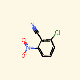 N#Cc1c(Cl)cccc1[N+](=O)[O-]